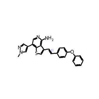 Cn1cc(-c2cnc(N)c3c(/C=C/c4ccc(Oc5ccccc5)cc4)csc23)cn1